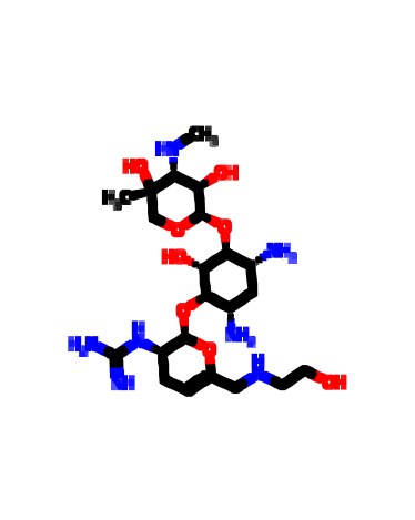 CN[C@@H]1[C@@H](O)[C@@H](O[C@@H]2[C@@H](O)[C@H](O[C@H]3OC(CNCCO)=CC[C@H]3NC(=N)N)[C@@H](N)C[C@H]2N)OC[C@]1(C)O